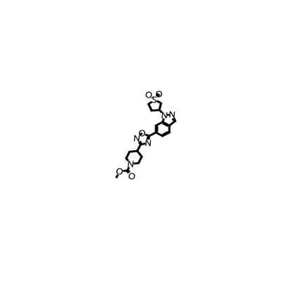 COC(=O)N1CCC(c2noc(-c3ccc4cnn(C5CCS(=O)(=O)C5)c4c3)n2)CC1